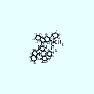 CC1(C)c2ccccc2-c2cc3c4ccccc4n(-c4nc(-c5ccccc5)c5c(n4)c4ccc6ccccc6c4n5-c4ccccc4)c3cc21